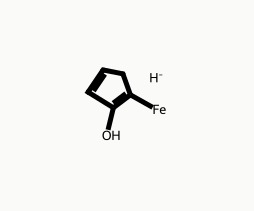 OC1=[C]([Fe])CC=C1.[H-]